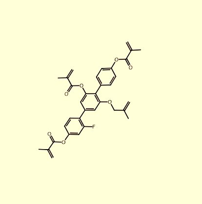 C=C(C)COc1cc(-c2ccc(OC(=O)C(=C)C)cc2F)cc(OC(=O)C(=C)C)c1-c1ccc(OC(=O)C(=C)C)cc1